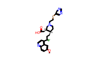 COc1ccc2nccc(C(F)CC[C@@H]3CCN(CCSc4cncnc4)C[C@@H]3CC(=O)O)c2c1